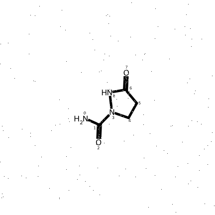 NC(=O)N1CCC(=O)N1